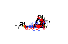 COc1cc2cc(c1Cl)N(C)C(=O)C[C@H](OC(=O)[C@H](C)N(C)C(=O)CCSC1CC(=O)N(CCCC(=O)NCC(=O)NCC(=O)NCC(=O)NCCC(=O)NCCN3C(=O)CC(SCCCC(C)C)C3=O)C1=O)[C@]1(C)O[C@H]1[C@H](C)[C@@H]1C[C@@](O)(NC(=O)O1)[C@H](OC)/C=C/C=C(\C)C2